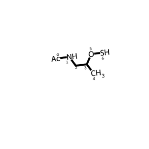 CC(=O)NCC(C)OS